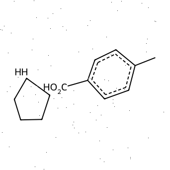 C1CCCC1.Cc1ccc(C(=O)O)cc1.[HH]